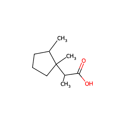 CC1CCCC1(C)C(C)C(=O)O